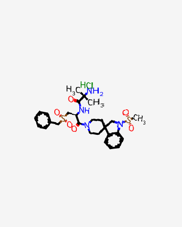 CC(C)(N)C(=O)N[C@H](CS(=O)(=O)Cc1ccccc1)C(=O)N1CCC2(CC1)CN(S(C)(=O)=O)c1ccccc12.Cl